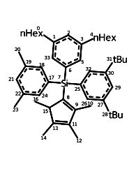 CCCCCCc1cc(CCCCCC)cc([Si](C2=C(C)C(C)=C(C)C2C)(c2cc(C)cc(C)c2)c2cc(C(C)(C)C)cc(C(C)(C)C)c2)c1